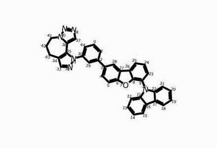 c1cc(-c2ccc3oc4c(-n5c6ccccc6c6ccccc65)cccc4c3c2)cc(-n2ncc3c2-c2cnnn2CCC3)c1